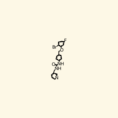 O=C(NCc1cccnc1)Nc1ccc(COc2cc(F)ccc2Br)cc1